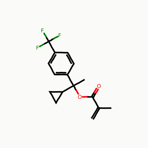 C=C(C)C(=O)OC(C)(c1ccc(C(F)(F)F)cc1)C1CC1